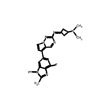 Cc1nc2c(F)cc(-c3ccn4nc(N=C5CC(N(C)C)C5)ncc34)cc2n1C(C)C